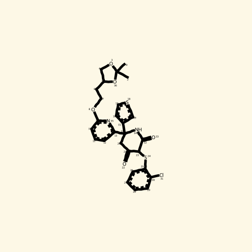 CC1(C)OCC(CCOc2cccc(C3(c4ccsc4)CC(=O)C(Sc4ccccc4Cl)C(=O)N3)n2)O1